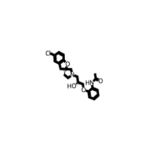 CC(=O)Nc1ccccc1OC[C@@H](O)CN1CC[C@@]2(Cc3cc(Cl)ccc3O2)C1